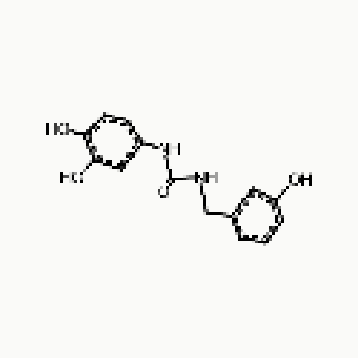 O=C(NCc1cccc(O)c1)Nc1ccc(O)c(O)c1